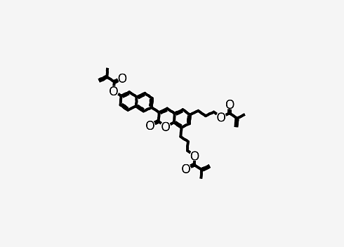 C=C(C)C(=O)OCCCc1cc(CCCOC(=O)C(=C)C)c2oc(=O)c(-c3ccc4cc(OC(=O)C(=C)C)ccc4c3)cc2c1